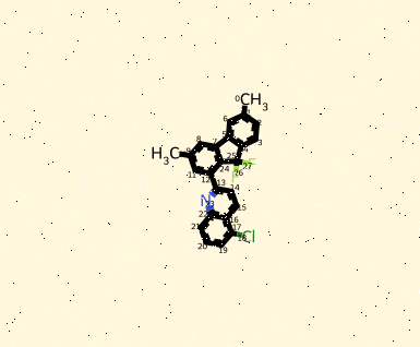 Cc1ccc2c(c1)-c1cc(C)cc(-c3ccc4c(Cl)cccc4n3)c1C2(F)F